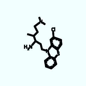 CC(CCN(C)C)C(N)CCN1c2ccccc2Sc2ccc(Cl)cc21